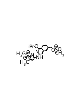 Cc1cc(Nc2cc3cc(COS(C)(=O)=O)ccc3c(OC(C)C)n2)nn1S(C)(=O)=O